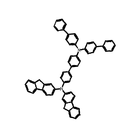 c1ccc(-c2ccc(N(c3ccc(-c4ccccc4)cc3)c3ccc(-c4ccc(N(c5ccc6c(c5)Cc5ccccc5-6)c5ccc6c(c5)Cc5ccccc5-6)cc4)cc3)cc2)cc1